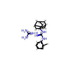 Cc1ccccc1NC(=N)NC12CC3CC(CC(C3)C1)C2.N=C(N)N